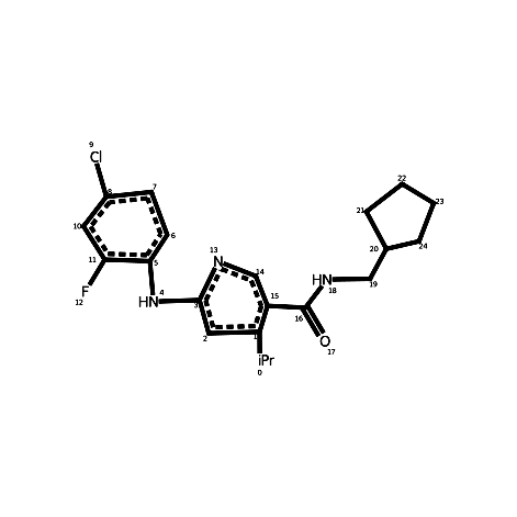 CC(C)c1cc(Nc2ccc(Cl)cc2F)ncc1C(=O)NCC1CCCC1